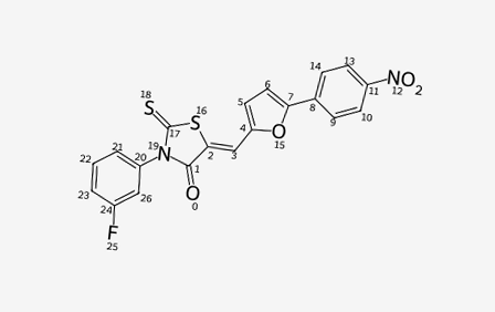 O=C1C(=Cc2ccc(-c3ccc([N+](=O)[O-])cc3)o2)SC(=S)N1c1cccc(F)c1